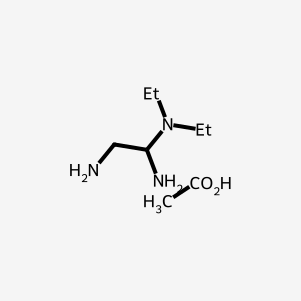 CC(=O)O.CCN(CC)C(N)CN